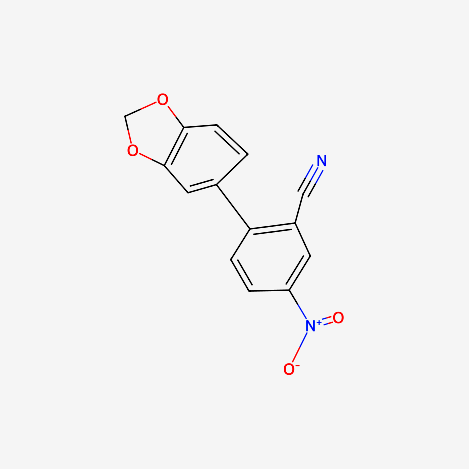 N#Cc1cc([N+](=O)[O-])ccc1-c1ccc2c(c1)OCO2